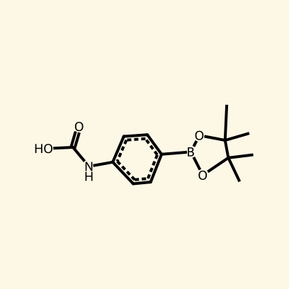 CC1(C)OB(c2ccc(NC(=O)O)cc2)OC1(C)C